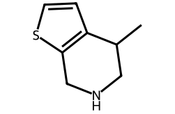 CC1CNCc2sccc21